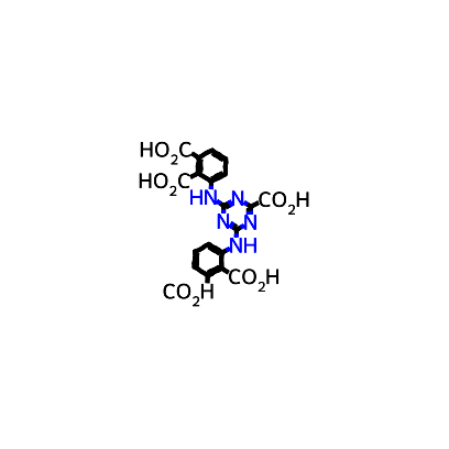 O=C(O)c1nc(Nc2cccc(C(=O)O)c2C(=O)O)nc(Nc2cccc(C(=O)O)c2C(=O)O)n1